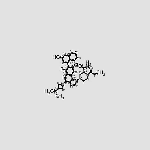 C=CC(=O)N1CC[C@H](n2cnc3c(N4CC(N(C)C)C4)nc4c(F)c(-c5cc(O)cc6ccccc56)c(Cl)cc4c32)C[C@H]1C(N)=O